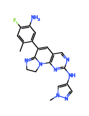 Cc1cc(F)c(N)cc1C1=Cc2cnc(Nc3cnn(C)c3)nc2N2CCN=C12